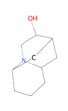 OC1CN2C3CCCC2CC1C3